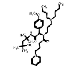 CCCCN(CCCC)CCCN(C(=O)CCCN1C=CC=CC1)C(C(=O)NC(C)(C)CC(C)(C)C)c1ccc(OC)cc1